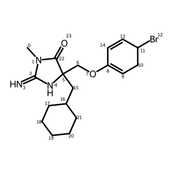 CN1C(=N)NC(COC2=CCC(Br)C=C2)(CC2CCCCC2)C1=O